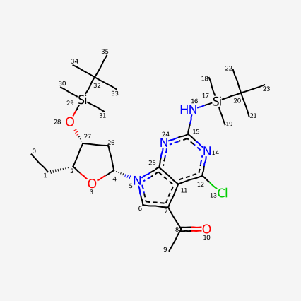 CC[C@H]1O[C@@H](n2cc(C(C)=O)c3c(Cl)nc(N[Si](C)(C)C(C)(C)C)nc32)C[C@H]1O[Si](C)(C)C(C)(C)C